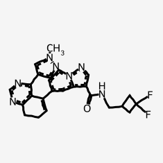 Cn1cc(-c2ncnc3c2C(c2ccn4ncc(C(=O)NCC5CC(F)(F)C5)c4c2)=CCC3)cn1